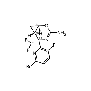 NC1=N[C@](c2nc(Br)ccc2F)(C(F)F)[C@@H]2C[C@@H]2O1